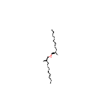 CCCCCCCCC(C)=COC=C(C)CCCCCCCC